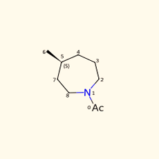 CC(=O)N1CCC[C@H](C)CC1